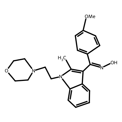 COc1ccc(C(=NO)c2c(C)n(CCN3CCOCC3)c3ccccc23)cc1